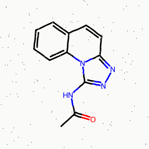 CC(=O)Nc1nnc2ccc3ccccc3n12